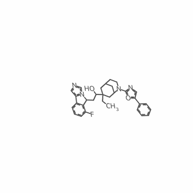 CCC1(C(O)CC2c3c(F)cccc3-c3cncn32)CC2CCN(c3ncc(-c4ccccc4)o3)C(C2)C1